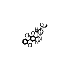 C=CC(=O)N1CCN2c3ncnc4cc(-c5ccccc5Cl)c(Cl)c(c34)OC[C@@H]2C1